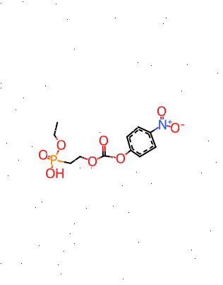 CCOP(=O)(O)CCOC(=O)Oc1ccc([N+](=O)[O-])cc1